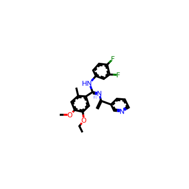 C=C(/N=C(/Nc1ccc(F)c(F)c1)c1cc(OCC)c(OC)cc1C)c1cccnc1